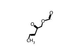 C/C=C/C(=O)CO[C]=O